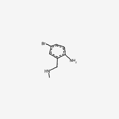 CNCc1cc(Br)ccc1N